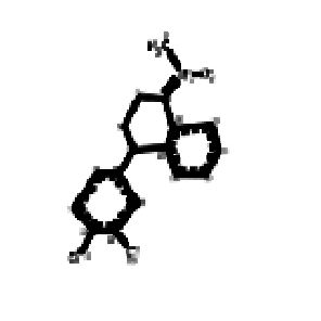 C[N+]([O-])=C1CCC(c2ccc(Cl)c(Cl)c2)c2ccccc21